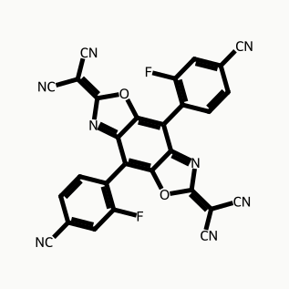 N#CC(C#N)=c1nc2c(-c3ccc(C#N)cc3F)c3oc(=C(C#N)C#N)nc3c(-c3ccc(C#N)cc3F)c2o1